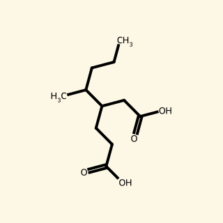 CCCC(C)C(CCC(=O)O)CC(=O)O